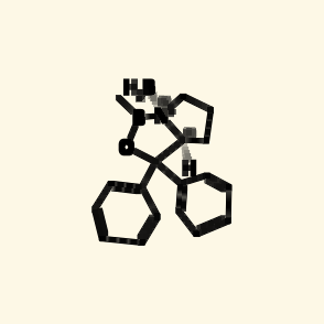 B[N@+]12CCC[C@H]1C(c1ccccc1)(c1ccccc1)OB2C